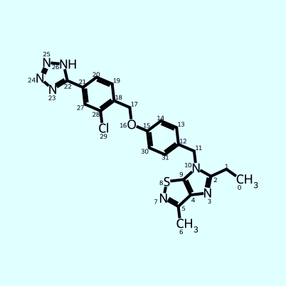 CCc1nc2c(C)nsc2n1Cc1ccc(OCc2ccc(-c3nnn[nH]3)cc2Cl)cc1